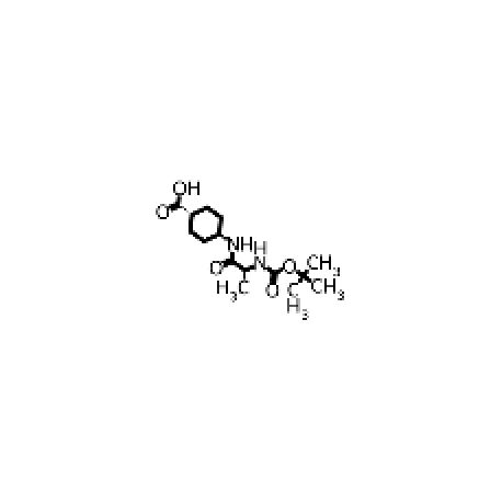 C[C@H](NC(=O)OC(C)(C)C)C(=O)N[C@H]1CC[C@H](C(=O)O)CC1